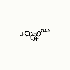 N#CCOc1ccc(C2c3[nH]c4ccc(Cl)cc4c3CCN2Cl)cc1